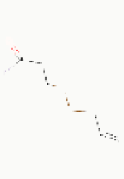 C=CCSSCCC(=O)I